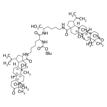 C=C(C)C1CCC2(C(=O)NCCCCC(NC(=O)C(CCCCNC(=O)C34CCC(C(=C)C)C3[C@@H]3CC[C@H]5[C@]6(C)CCC(=O)C(C)(C)[C@H]6CC[C@]5(C)[C@@]3(C)CC4)NC(=O)OC(C)(C)C)C(=O)O)CC[C@]3(C)[C@H](CC[C@@H]4[C@@]5(C)CCC(=O)C(C)(C)[C@@H]5CC[C@]43C)C12